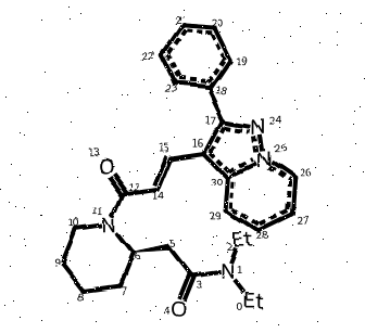 CCN(CC)C(=O)C[C@H]1CCCCN1C(=O)/C=C/c1c(-c2ccccc2)nn2ccccc12